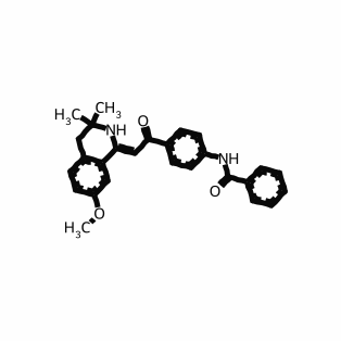 COc1ccc2c(c1)C(=CC(=O)c1ccc(NC(=O)c3ccccc3)cc1)NC(C)(C)C2